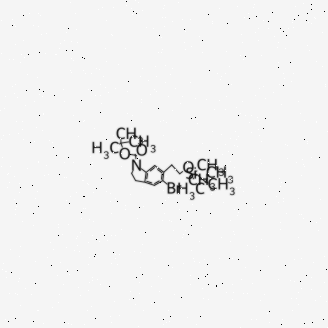 CC(C)(C)OC(=O)N1CCc2cc(Br)c(CCO[Si](C)(C)C(C)(C)C)cc21